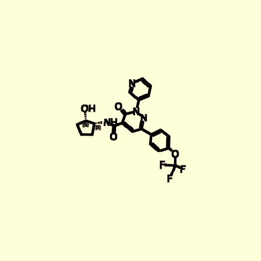 O=C(N[C@@H]1CCC[C@@H]1O)c1cc(-c2ccc(OC(F)(F)F)cc2)nn(-c2cccnc2)c1=O